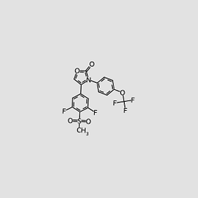 CS(=O)(=O)c1c(F)cc(-c2coc(=O)n2-c2ccc(OC(F)(F)F)cc2)cc1F